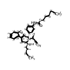 C#CC(=O)N1[C@@H](c2ccc(NC(=O)OCCCCC)cc2)c2oc3ccccc3c2C[C@@H]1NCCCC